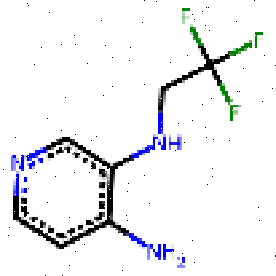 Nc1ccncc1NCC(F)(F)F